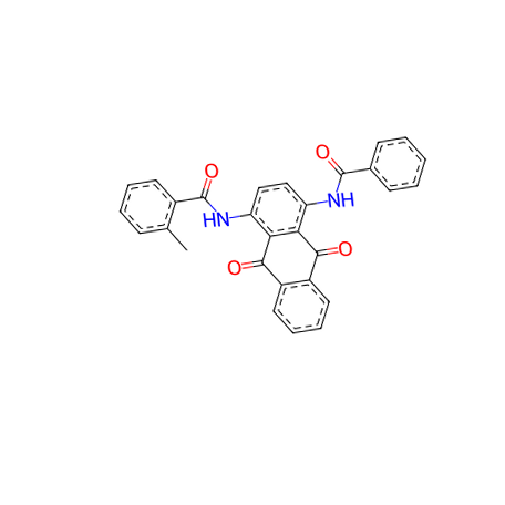 Cc1ccccc1C(=O)Nc1ccc(NC(=O)c2ccccc2)c2c1C(=O)c1ccccc1C2=O